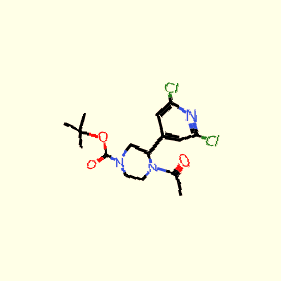 CC(=O)N1CCN(C(=O)OC(C)(C)C)CC1c1cc(Cl)nc(Cl)c1